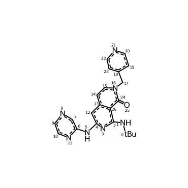 CC(C)(C)Nc1nc(Nc2cnccn2)cc2ccn(Cc3ccncc3)c(=O)c12